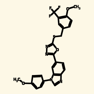 COc1ccc(-n2cnc3ccc(-c4nnc(SCc5ccc(OC)c(C(F)(F)F)c5)o4)cc32)cc1